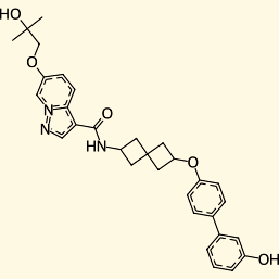 CC(C)(O)COc1ccc2c(C(=O)NC3CC4(C3)CC(Oc3ccc(-c5cccc(O)c5)cc3)C4)cnn2c1